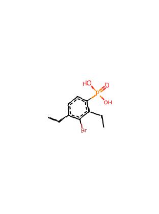 CCc1ccc(P(=O)(O)O)c(CC)c1Br